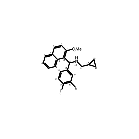 COc1ccc2ccccc2c1C(NCC1CC1)c1ccc(F)c(C)c1